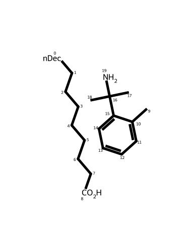 CCCCCCCCCCCCCCCCCC(=O)O.Cc1ccccc1C(C)(C)N